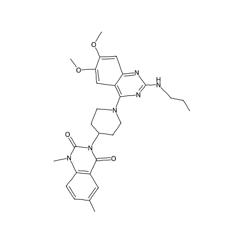 CCCNc1nc(N2CCC(n3c(=O)c4cc(C)ccc4n(C)c3=O)CC2)c2cc(OC)c(OC)cc2n1